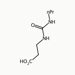 CCCNC(=O)NCCC(=O)O